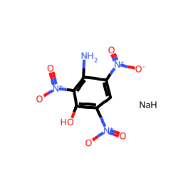 Nc1c([N+](=O)[O-])cc([N+](=O)[O-])c(O)c1[N+](=O)[O-].[NaH]